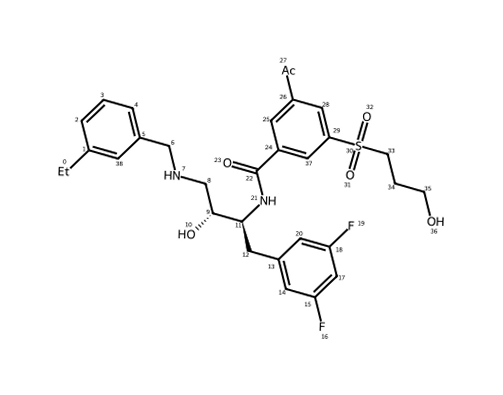 CCc1cccc(CNC[C@@H](O)[C@H](Cc2cc(F)cc(F)c2)NC(=O)c2cc(C(C)=O)cc(S(=O)(=O)CCCO)c2)c1